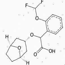 O=C(O)C(O[C@@H]1C[C@H]2CC[C@@H](C1)O2)c1ccccc1OC(F)F